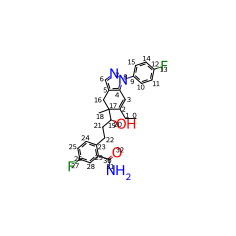 CCC1=Cc2c(cnn2-c2ccc(F)cc2)CC1(C)[C@@H](O)CCc1ccc(F)cc1C(N)=O